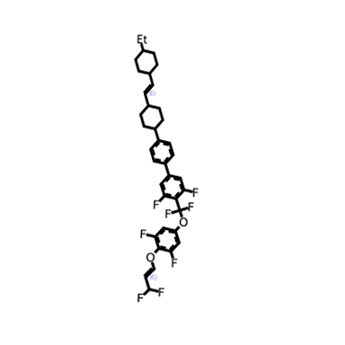 CCC1CCC(/C=C/C2CCC(c3ccc(-c4cc(F)c(C(F)(F)Oc5cc(F)c(O/C=C/C(F)F)c(F)c5)c(F)c4)cc3)CC2)CC1